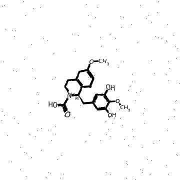 COC1=CCC2=C(CCN(C(=O)O)[C@@H]2Cc2cc(O)c(OC)c(O)c2)C1